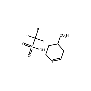 O=C(O)C1CC=NCC1.O=S(=O)(O)C(F)(F)F